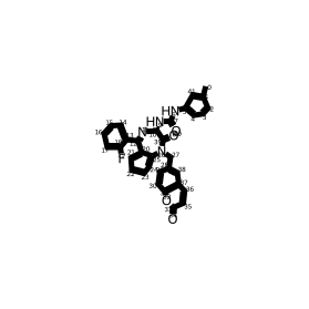 Cc1cccc(NC(=O)N[C@@H]2N=C(c3ccccc3F)c3ccccc3N(Cc3ccc4oc(=O)ccc4c3)C2=O)c1